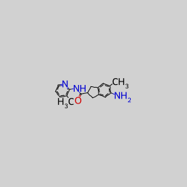 Cc1cc2c(cc1N)CC(C(=O)Nc1ncccc1C)C2